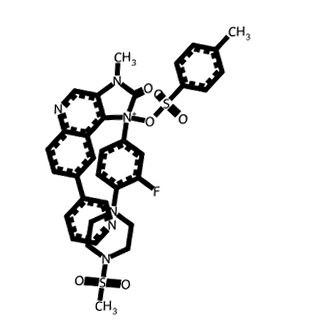 Cc1ccc(S(=O)(=O)O[N+]2(c3ccc(N4CCN(S(C)(=O)=O)CC4)c(F)c3)C(=O)N(C)c3cnc4ccc(-c5cccnc5)cc4c32)cc1